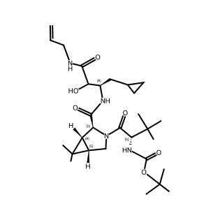 C=CCNC(=O)C(O)[C@@H](CC1CC1)NC(=O)[C@@H]1[C@@H]2[C@H](CN1C(=O)[C@@H](NC(=O)OC(C)(C)C)C(C)(C)C)C2(C)C